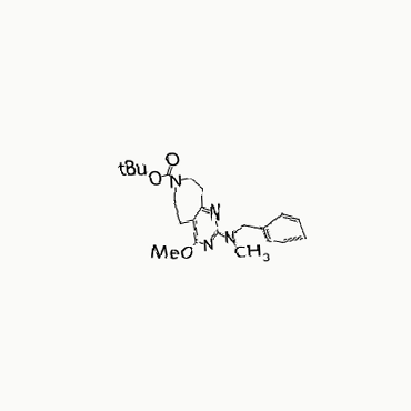 COc1nc(N(C)Cc2ccccc2)nc2c1CCN(C(=O)OC(C)(C)C)CC2